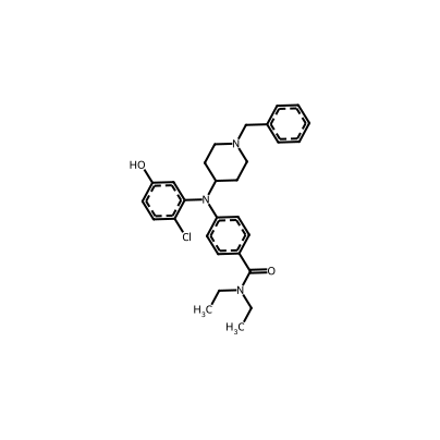 CCN(CC)C(=O)c1ccc(N(c2cc(O)ccc2Cl)C2CCN(Cc3ccccc3)CC2)cc1